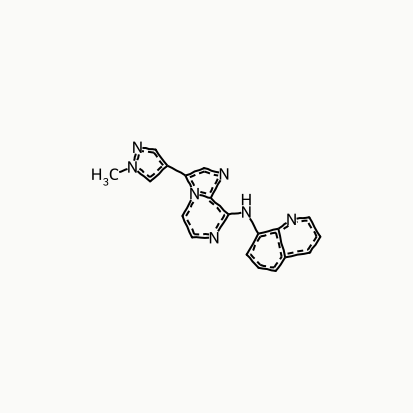 Cn1cc(-c2cnc3c(Nc4cccc5cccnc45)nccn23)cn1